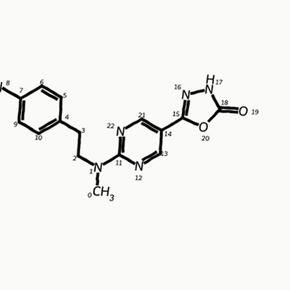 CN(CCc1ccc(Cl)cc1)c1ncc(-c2n[nH]c(=O)o2)cn1